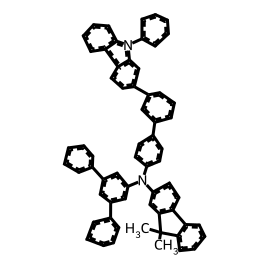 CC1(C)c2ccccc2-c2ccc(N(c3ccc(-c4cccc(-c5ccc6c7ccccc7n(-c7ccccc7)c6c5)c4)cc3)c3cc(-c4ccccc4)cc(-c4ccccc4)c3)cc21